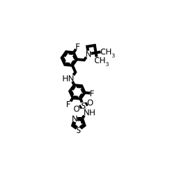 CC1(C)CCN1Cc1c(F)cccc1CNc1cc(F)c(S(=O)(=O)Nc2cscn2)c(F)c1